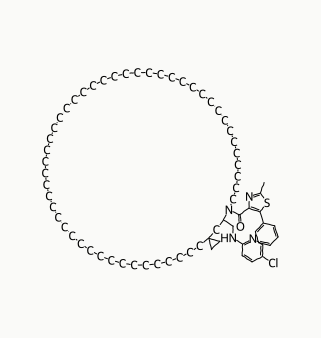 Cc1nc(C(=O)N2CCCCCCCCCCCCCCCCCCCCCCCCCCCCCCCCCCCCCCCCCCCCCCCCC3(CC3)CC2CNc2ccc(Cl)cn2)c(-c2ccccc2)s1